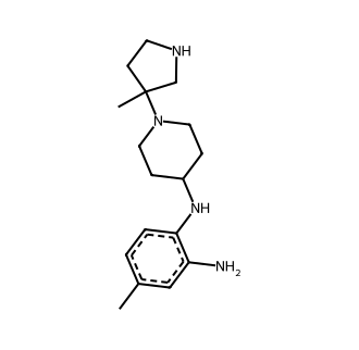 Cc1ccc(NC2CCN(C3(C)CCNC3)CC2)c(N)c1